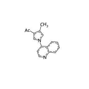 CC(=O)c1cn(-c2ccnc3ccccc23)cc1C